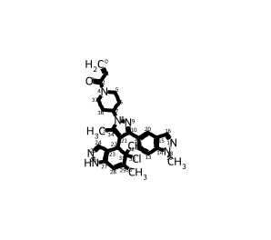 C=CC(=O)N1CCC(n2nc(-c3ccc4c(cnn4C)c3)c(C3c4cn[nH]c4C=C(C)C3(C)Cl)c2C)CC1